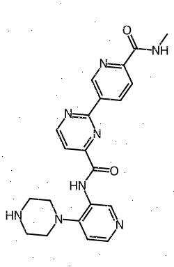 CNC(=O)c1ccc(-c2nccc(C(=O)Nc3cnccc3N3CCNCC3)n2)cn1